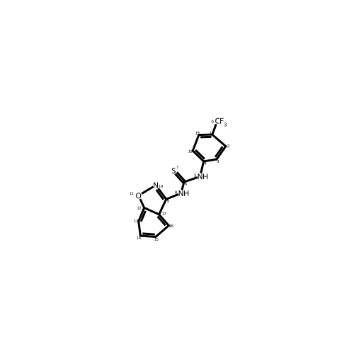 FC(F)(F)c1ccc(NC(=S)Nc2noc3ccccc23)cc1